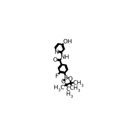 CC1(C)OB(c2ccc(C(=O)Nc3cc(O)ccn3)cc2F)OC1(C)C